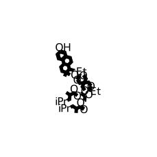 CCC1(OCC2C3CCc4cc(O)ccc4C3CCC2(C)C)OCC2(CO1)COC(CC)(OC(COC(=O)C(C)CC(C)C)COC(=O)C(C)CC(C)C)OC2